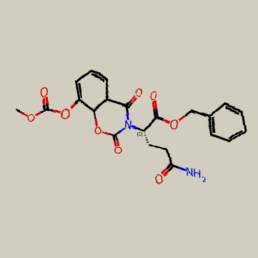 COC(=O)OC1=CC=CC2C(=O)N([C@@H](CCC(N)=O)C(=O)OCc3ccccc3)C(=O)OC12